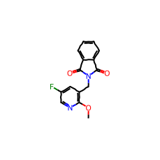 COc1ncc(F)cc1CN1C(=O)c2ccccc2C1=O